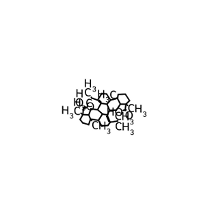 CC(C)C1=C2C3CC4C(C)(C(=O)O)CCCC4(C)C4CCC(C(C)C)=C(C5CC6C(C)(C(=O)O)CCCC6(C)C(CC1)C25)C34